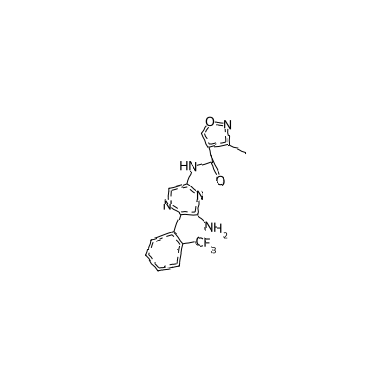 Cc1nocc1C(=O)Nc1cnc(-c2ccccc2C(F)(F)F)c(N)n1